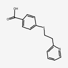 O=C(O)c1ccc(SCCc2ccccn2)cc1